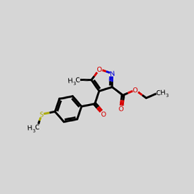 CCOC(=O)c1noc(C)c1C(=O)c1ccc(SC)cc1